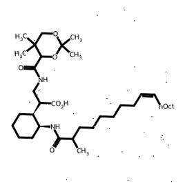 CCCCCCCC/C=C\CCCCCCC(C)C(=O)N[C@H]1CCCC[C@H]1C(CNC(=O)C1OC(C)(C)OCC1(C)C)C(=O)O